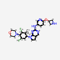 Cc1c(-n2ccc3cnc(Nc4ccc(OC5CNC5)nc4)nc32)cc(F)c(N2CCOCC2)c1F